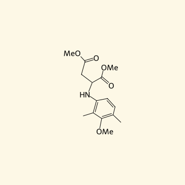 COC(=O)CC(Nc1ccc(C)c(OC)c1C)C(=O)OC